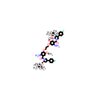 COc1cc(C(=O)N2C=C(c3ccc(F)cc3)C[C@H]2CO[Si](C)(C)C(C)(C)C)c(N)cc1OCCCOc1cc(N)c(C(=O)N2C=C(c3ccc(F)cc3)C[C@H]2CO[Si](C)(C)C(C)(C)C)cc1OC